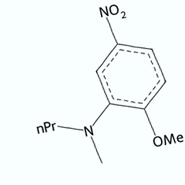 CCCN(C)c1cc([N+](=O)[O-])ccc1OC